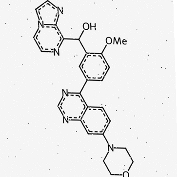 COc1ccc(-c2ncnc3cc(N4CCOCC4)ccc23)cc1C(O)c1nccn2ccnc12